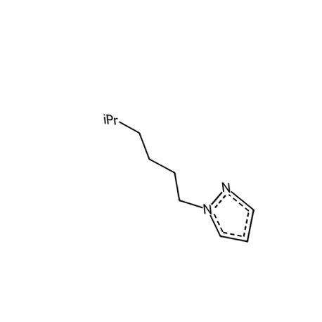 CC(C)CCCCn1cccn1